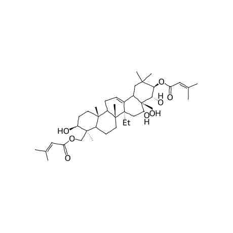 CC[C@@]12C[C@@H](O)[C@]3(CO)C(CC(C)(C)[C@@H](OC(=O)C=C(C)C)[C@@H]3O)C1=CCC1[C@@]3(C)CC[C@H](O)[C@](C)(COC(=O)C=C(C)C)C3CC[C@]12C